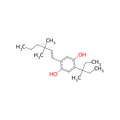 CCCC(C)(C)/C=C/c1cc(O)c(C(C)(CC)CC)cc1O